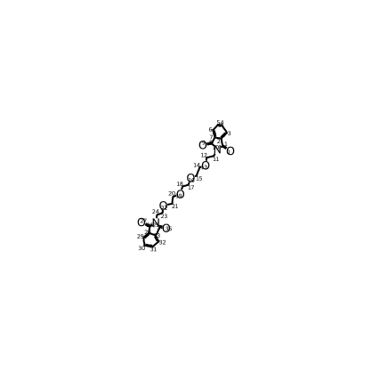 O=C1c2ccccc2C(=O)N1CCOCCOCCOCCOCCN1C(=O)c2ccccc2C1=O